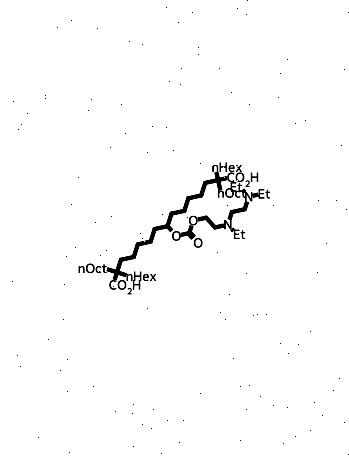 CCCCCCCCC(CCCCCC)(CCCCCC(CCCCCC(CCCCCC)(CCCCCCCC)C(=O)O)OC(=O)OCCN(CC)CCN(CC)CC)C(=O)O